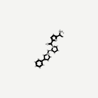 CC(N)c1ccc(C(=O)N2CCC[C@H]2CN2CCC(c3ccccc3)C2)o1